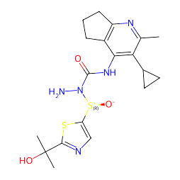 Cc1nc2c(c(NC(=O)N(N)[S@@+]([O-])c3cnc(C(C)(C)O)s3)c1C1CC1)CCC2